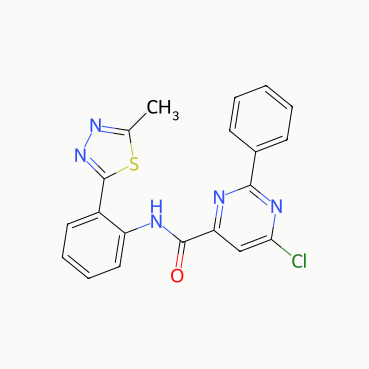 Cc1nnc(-c2ccccc2NC(=O)c2cc(Cl)nc(-c3ccccc3)n2)s1